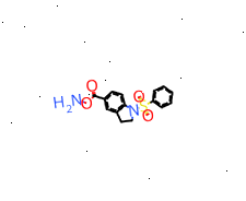 NOC(=O)c1ccc2c(c1)CCN2S(=O)(=O)c1ccccc1